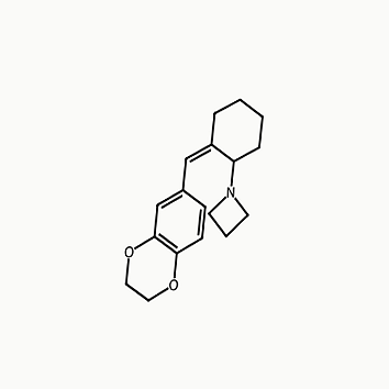 C(=C1\CCCCC1N1CCC1)/c1ccc2c(c1)OCCO2